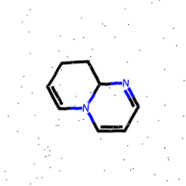 C1=CN2C=CCCC2N=C1